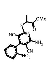 COC(=O)C(C)Sc1nc(N)c(C#N)c(-c2ccccc2[N+](=O)[O-])c1C#N